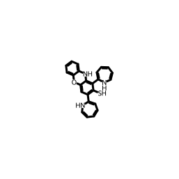 Sc1c(C2=CC=CC=CN2)cc2c(c1C1=CC=CC=CN1)Nc1ccccc1O2